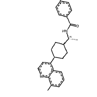 C[C@@H](NC(=O)c1ccc(F)cc1)C1CCC(c2ccnc3c(F)cccc23)CC1